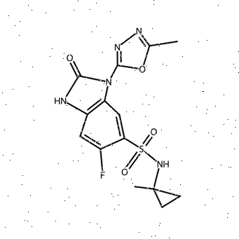 Cc1nnc(-n2c(=O)[nH]c3cc(F)c(S(=O)(=O)NC4(C)CC4)cc32)o1